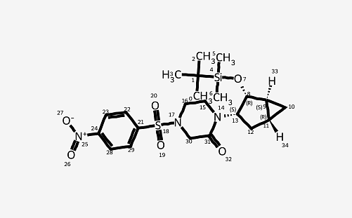 CC(C)(C)[Si](C)(C)O[C@@H]1[C@H]2C[C@@H]2C[C@@H]1N1CCN(S(=O)(=O)c2ccc([N+](=O)[O-])cc2)CC1=O